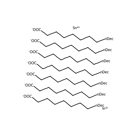 CCCCCCCCCCCCCCCCCC(=O)[O-].CCCCCCCCCCCCCCCCCC(=O)[O-].CCCCCCCCCCCCCCCCCC(=O)[O-].CCCCCCCCCCCCCCCCCC(=O)[O-].CCCCCCCCCCCCCCCCCC(=O)[O-].CCCCCCCCCCCCCCCCCC(=O)[O-].CCCCCCCCCCCCCCCCCC(=O)[O-].[In+3].[Sn+4]